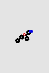 c1ccc(-c2ccc(OC(c3ccccc3)C3CCNCC3)cc2)cc1